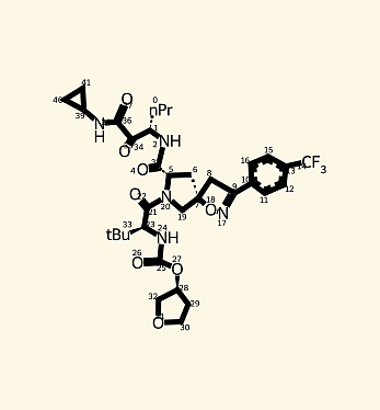 CCC[C@H](NC(=O)[C@@H]1C[C@@]2(CC(c3ccc(C(F)(F)F)cc3)=NO2)CN1C(=O)[C@@H](NC(=O)O[C@H]1CCOC1)C(C)(C)C)C(=O)C(=O)NC1CC1